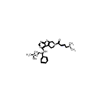 CN(C)C/C=C/C(=O)N1CCc2c(sc3ncnc(N[C@H](CO[Si](C)(C)C(C)(C)C)c4ccccc4)c23)C1